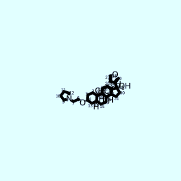 C[C@]12CC[C@H](OCCN3CCCC3)C[C@@H]1CC[C@@H]1[C@@H]2CC[C@]2(C)[C@@](O)(c3ccoc3)CC[C@]12O